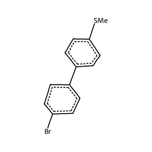 CSc1ccc(-c2ccc(Br)cc2)cc1